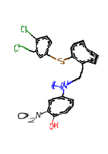 O=[N+]([O-])c1cc(NCc2ccccc2Sc2ccc(Cl)c(Cl)c2)ccc1O